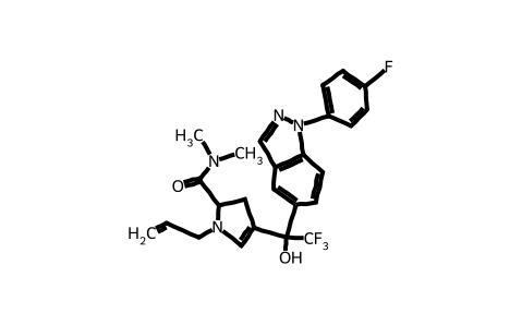 C=CCN1C=C(C(O)(c2ccc3c(cnn3-c3ccc(F)cc3)c2)C(F)(F)F)CC1C(=O)N(C)C